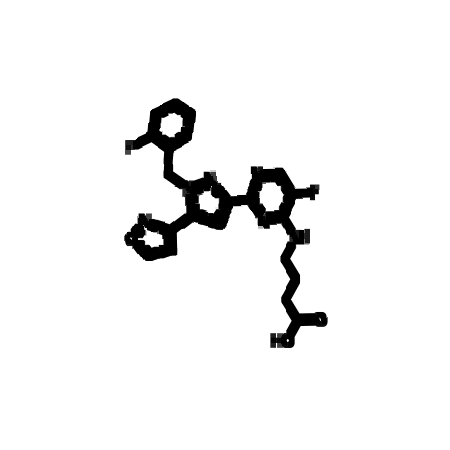 O=C(O)CCCNc1nc(-c2cc(-c3ccon3)n(Cc3ccccc3F)n2)ncc1F